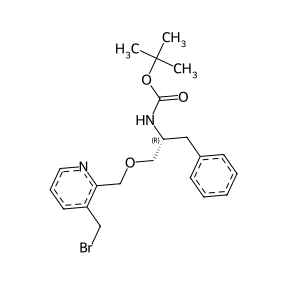 CC(C)(C)OC(=O)N[C@@H](COCc1ncccc1CBr)Cc1ccccc1